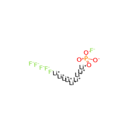 O=P([O-])([O-])[O-].[F-].[F-].[F-].[F-].[F-].[F-].[Li+].[Li+].[Li+].[Li+].[Li+].[Li+].[Li+].[Li+].[Li+]